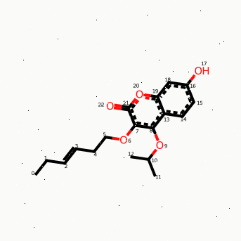 CCC=CCCOc1c(OC(C)C)c2ccc(O)cc2oc1=O